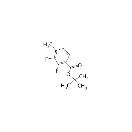 Cc1ccc(C(=O)OC(C)(C)C)c(F)c1F